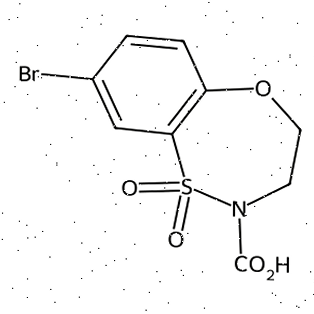 O=C(O)N1CCOc2ccc(Br)cc2S1(=O)=O